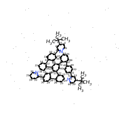 CC(C)(C)c1ccnc(-c2ccc(-c3ccccc3-c3cc(-c4ccccc4-c4ccc(-c5ccccn5)cc4)cc(-c4ccccc4-c4ccc(-c5cc(C(C)(C)C)ccn5)cc4)c3)cc2)c1